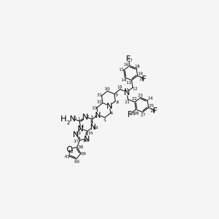 Nc1nc(N2CCN3CC(CN(Cc4ccc(F)cc4F)Cc4ccc(F)cc4F)CCC3C2)nc2nc(-c3ccco3)nn12